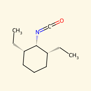 CC[C@@H]1CCC[C@H](CC)[C@@H]1N=C=O